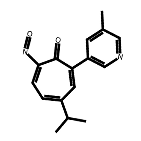 Cc1cncc(-c2cc(C(C)C)ccc(N=O)c2=O)c1